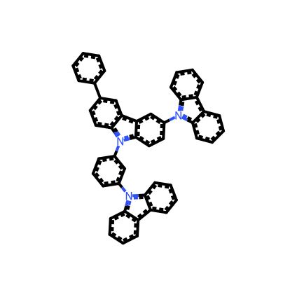 c1ccc(-c2ccc3c(c2)c2cc(-n4c5ccccc5c5ccccc54)ccc2n3-c2cccc(-n3c4ccccc4c4ccccc43)c2)cc1